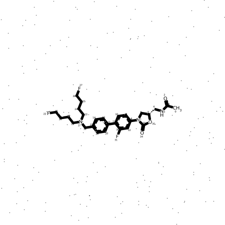 CC(=O)NC[C@H]1CN(c2ccc(-c3ccc(CN(CCCCF)CCCCF)cc3)c(F)c2)C(=O)O1